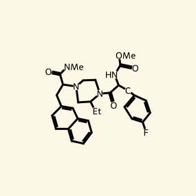 CCC1CN(C(Cc2ccc3ccccc3c2)C(=O)NC)CCN1C(=O)C(Cc1ccc(F)cc1)NC(=O)OC